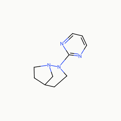 c1cnc(N2CCC3CCN2C3)nc1